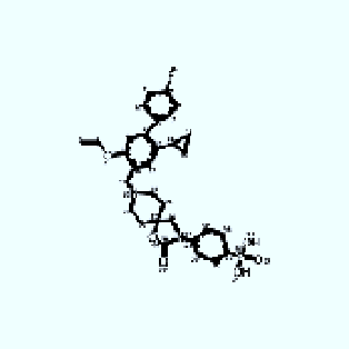 CCOc1cc(-c2ccc(F)cc2)c(C2CC2)cc1CN1CCC2(CC1)CN(c1ccc(P(=O)(O)O)cc1)C(=O)O2